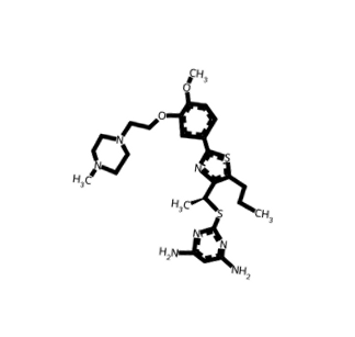 CCCc1sc(-c2ccc(OC)c(OCCN3CCN(C)CC3)c2)nc1[C@H](C)Sc1nc(N)cc(N)n1